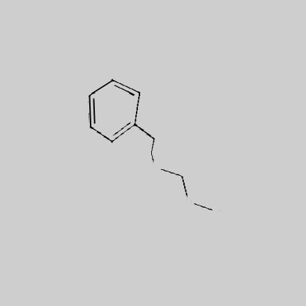 CC(C)OCOCc1ccccc1